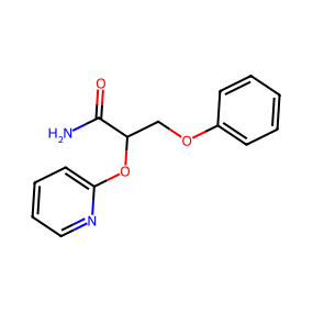 NC(=O)C(COc1ccccc1)Oc1ccccn1